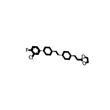 Fc1ccc([C@H]2CC[C@H](CC[C@H]3CC[C@H](CCC4OCCO4)CC3)CC2)cc1Cl